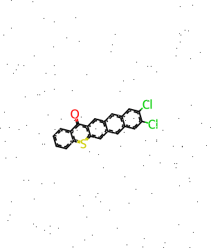 O=c1c2ccccc2sc2cc3cc4cc(Cl)c(Cl)cc4cc3cc12